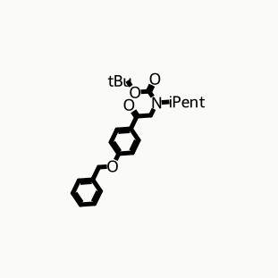 CCCC(C)N(CC(=O)c1ccc(OCc2ccccc2)cc1)C(=O)OC(C)(C)C